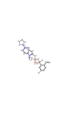 COc1ccc(F)cc1C(C)(C)CC(O)(Cc1cc2nc(N3CCCC3)ncc2[nH]1)C(F)(F)F